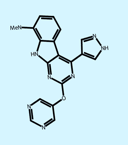 CNc1cccc2c1[nH]c1nc(Oc3cncnc3)nc(-c3cn[nH]c3)c12